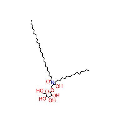 CCCCCCCCCCCCCCCCCCCCCCCCCC(=O)N1C(CCCCCCCCCCCCCC)C(O)C1COC1OC(CO)C(O)C(O)C1O